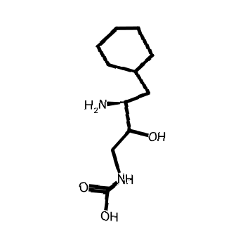 N[C@@H](CC1CCCCC1)C(O)CNC(=O)O